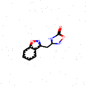 O=C1NC(Cc2noc3ccccc23)NO1